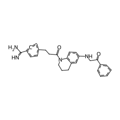 N=C(N)c1ccc(CCC(=O)N2CCCc3cc(NCC(=O)c4ccccc4)ccc32)cc1